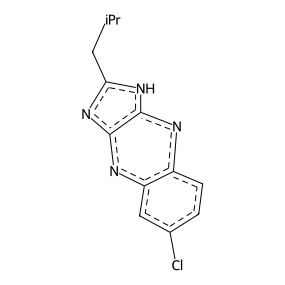 CC(C)Cc1nc2nc3cc(Cl)ccc3nc2[nH]1